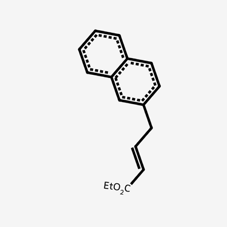 CCOC(=O)C=CCc1ccc2ccccc2c1